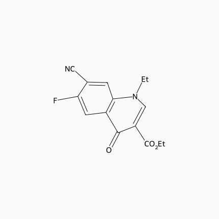 CCOC(=O)c1cn(CC)c2cc(C#N)c(F)cc2c1=O